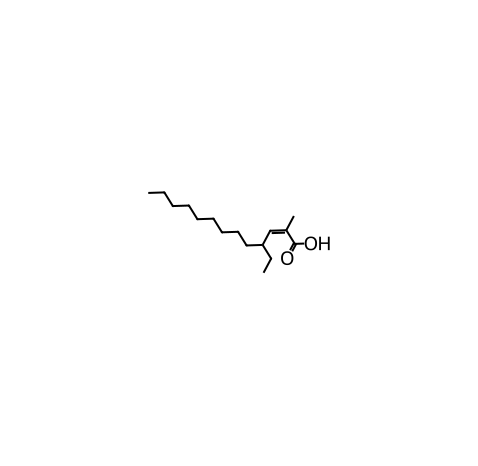 CCCCCCCCCC(C=C(C)C(=O)O)CC